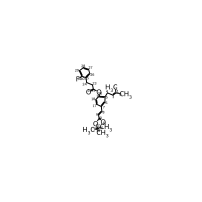 CC(C)=CCc1cc(/C=C/C(=O)OC(C)(C)C)ccc1OC(=O)CCc1ccccc1F